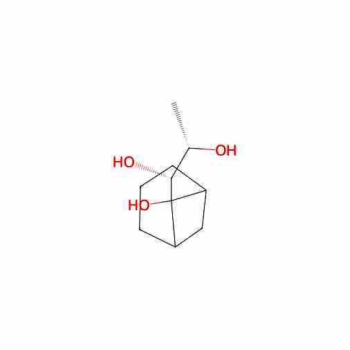 C[C@H](O)[C@@H](O)C1(O)C2CCCC1C2